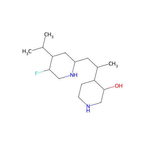 CC(C)C1CC(CC(C)C2CCNCC2O)NCC1F